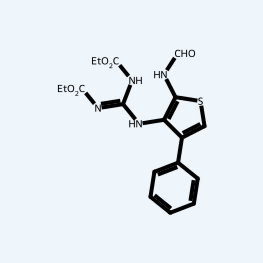 CCOC(=O)N=C(NC(=O)OCC)Nc1c(-c2ccccc2)csc1NC=O